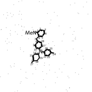 CNc1ccccc1Cc1ccc(N(C2=CC=C(C)CC2)c2ccc(C)cc2)cc1